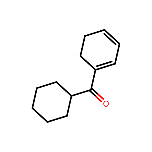 O=C(C1=CC=CC[CH]1)C1CCCCC1